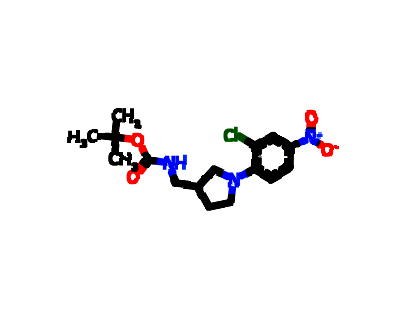 CC(C)(C)OC(=O)NCC1CCN(c2ccc([N+](=O)[O-])cc2Cl)C1